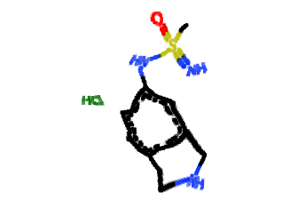 CS(=N)(=O)Nc1ccc2c(c1)CNC2.Cl